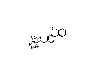 O=C(O)c1nn[nH]c1CCc1ccc(-c2ccccc2Cl)cc1